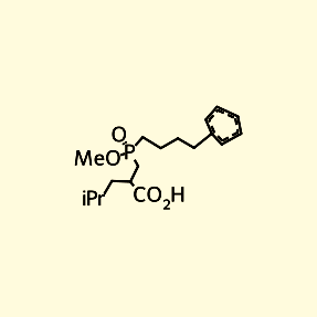 COP(=O)(CCCCc1ccccc1)CC(CC(C)C)C(=O)O